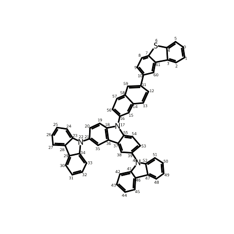 c1ccc2c(c1)sc1ccc(-c3ccc4cc(-n5c6ccc(-n7c8ccccc8c8ccccc87)cc6c6cc(-n7c8ccccc8c8ccccc87)ccc65)ccc4c3)cc12